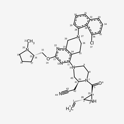 C=C[C@H]1N[C@@H]1C(=O)N1CCN(c2nc(OC[C@@H]3CCCN3C)nc3c2CCN(c2cccc4cccc(Cl)c24)C3)C[C@@H]1CC#N